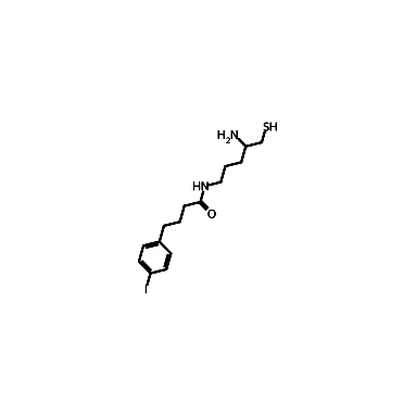 NC(CS)CCCNC(=O)CCCc1ccc(I)cc1